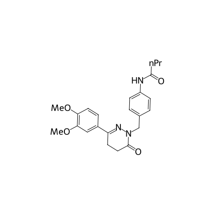 CCCC(=O)Nc1ccc(CN2N=C(c3ccc(OC)c(OC)c3)CCC2=O)cc1